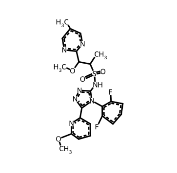 COc1cccc(-c2nnc(NS(=O)(=O)C(C)C(OC)c3ncc(C)cn3)n2-c2c(F)cccc2F)n1